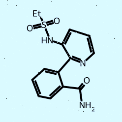 CCS(=O)(=O)Nc1cccnc1-c1ccccc1C(N)=O